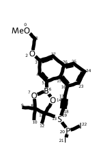 COCOc1cc(B2OC(C)(C)C(C)(C)O2)c2c(C#CSP(I)I)cccc2c1